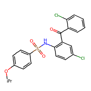 CC(C)Oc1ccc(S(=O)(=O)Nc2ccc(Cl)cc2C(=O)c2ccccc2Cl)cc1